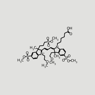 COCC[N+]1=C(/C=C/C=C2/N(CCCCCC(=O)O)c3ccc(S(=O)(=O)OC)cc3C2(C)CCOC)C(C)(CCCS(=O)(=O)OC)c2cc(S(=O)(=O)OC)ccc21